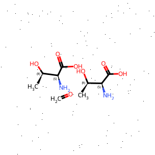 C=O.C[C@@H](O)[C@H](N)C(=O)O.C[C@@H](O)[C@H](N)C(=O)O